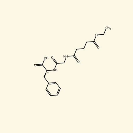 CCOC(=O)CCCC(=O)NCC(=O)N[C@@H](Cc1ccccc1)C(=O)O